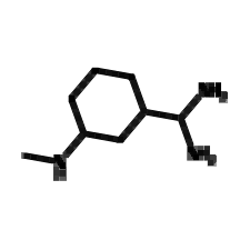 CNC1CCCC(C(N)N)C1